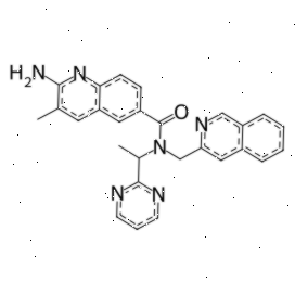 Cc1cc2cc(C(=O)N(Cc3cc4ccccc4cn3)C(C)c3ncccn3)ccc2nc1N